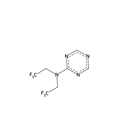 FC(F)(F)CN(CC(F)(F)F)c1ncncn1